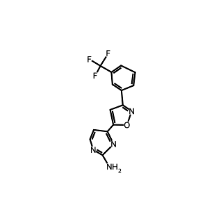 Nc1nccc(-c2cc(-c3cccc(C(F)(F)F)c3)no2)n1